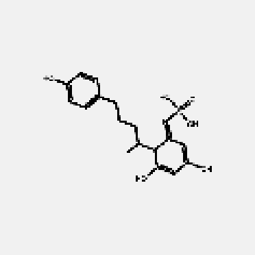 O=P(O)(O)N=C1C=C(O)C=C(O)C1C(O)CCCc1ccc(O)cc1